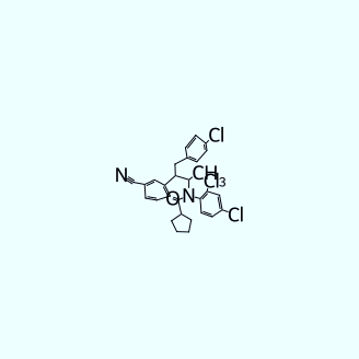 CC(C(Cc1ccc(Cl)cc1)c1cccc(C#N)c1)N(C(=O)C1CCCC1)c1ccc(Cl)cc1Cl